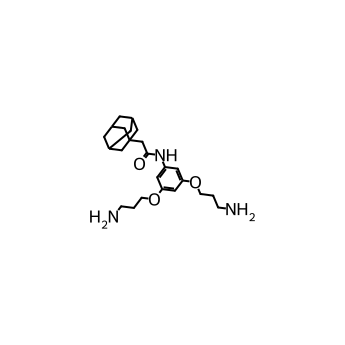 NCCCOc1cc(NC(=O)CC23CC4CC(CC(C4)C2)C3)cc(OCCCN)c1